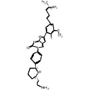 C[C@H](N)CCCc1cc(OC(F)(F)F)c(F)c(-c2cc3cn(-c4ccc([C@@H]5CCC[C@@H](CCN)N5)cc4)c(=O)nc3[nH]2)c1